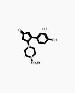 CCOC(=O)N1CCN(C2CC(=O)C=C2c2ccc(O)cc2)CC1.Cl